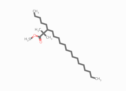 CCCCCCCCCCCCCCCC(CCCCC)C(C)(C)C(=O)O[SiH3]